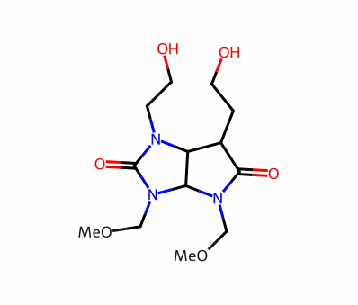 COCN1C(=O)C(CCO)C2C1N(COC)C(=O)N2CCO